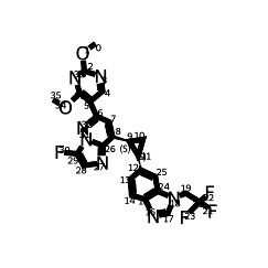 COc1ncc(-c2cc([C@H]3C[C@@H]3c3ccc4ncn(CC(F)(F)F)c4c3)c3ncc(F)n3n2)c(OC)n1